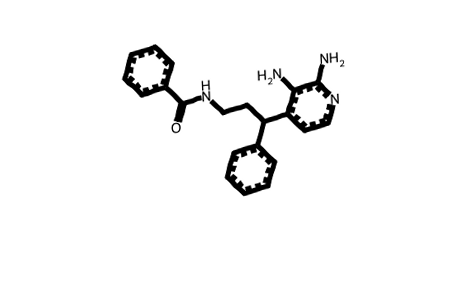 Nc1nccc(C(CCNC(=O)c2ccccc2)c2ccccc2)c1N